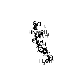 CC(=O)N1CC(Nc2cc(C(=O)NCC(O)CN3CCc4cc(OCc5ocnc5C)ccc4C3)nc(C(C)C)n2)C1